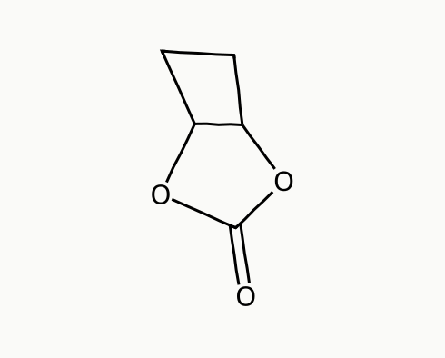 O=C1OC2CCC2O1